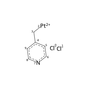 [Cl-].[Cl-].[Pt+2][CH2]c1ccncc1